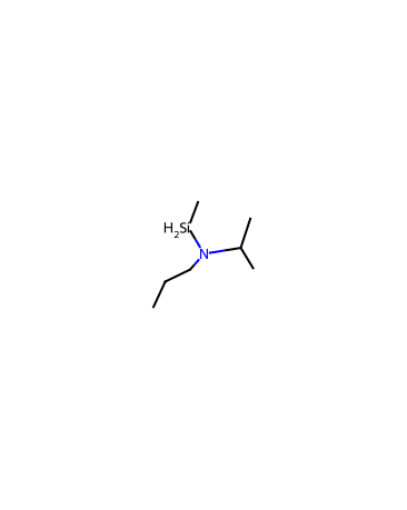 CCCN([SiH2]C)C(C)C